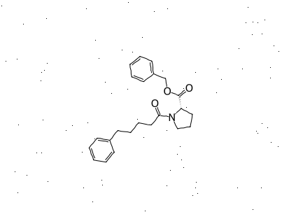 O=C(OCc1ccccc1)[C@@H]1CCCN1C(=O)CCCCc1ccccc1